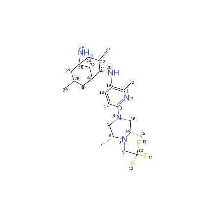 Cc1nc(N2C[C@@H](C)N(CC(F)(F)F)[C@@H](C)C2)ccc1NC1C(C)CC2(N)CC(C)CC1C2